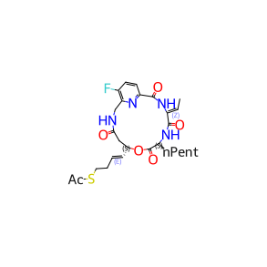 C/C=C1\NC(=O)c2ccc(F)c(n2)CNC(=O)C[C@@H](/C=C/CCSC(C)=O)OC(=O)[C@H](CCCCC)NC1=O